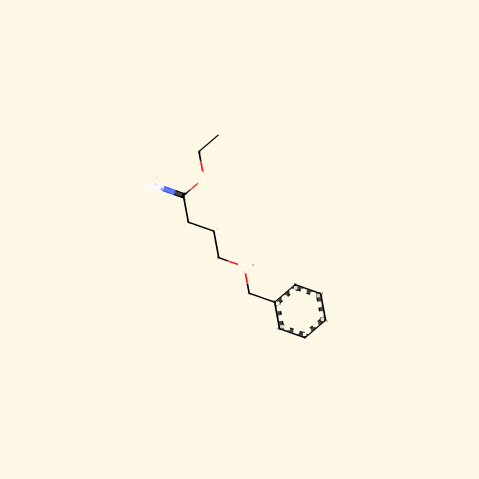 CCOC(=N)CCCOCc1ccccc1.Cl